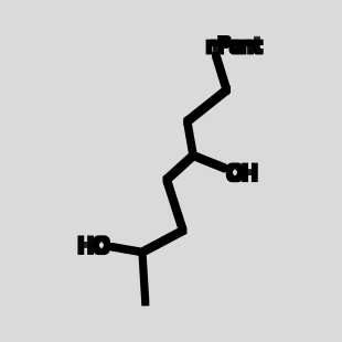 CCCCCCCC(O)CCC(C)O